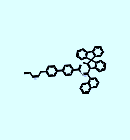 C=C/C=C\Cc1ccc(-c2ccc(C(=C)/N=C(\C3=C(C)C4(c5ccccc53)c3ccccc3-c3ccccc34)c3cccc4ccccc34)cc2)cc1